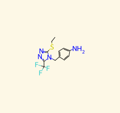 CCSc1nnc(C(F)(F)F)n1Cc1ccc(N)cc1